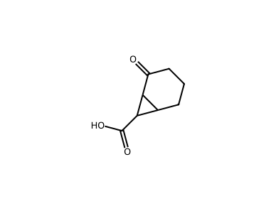 O=C(O)C1C2CCCC(=O)C21